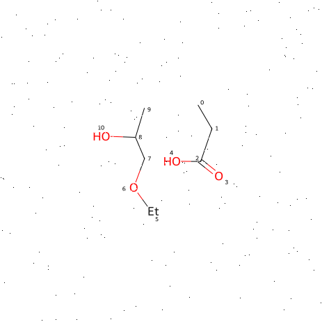 CCC(=O)O.CCOCC(C)O